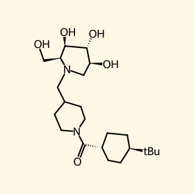 CC(C)(C)[C@H]1CC[C@H](C(=O)N2CCC(CN3C[C@H](O)[C@@H](O)[C@H](O)[C@@H]3CO)CC2)CC1